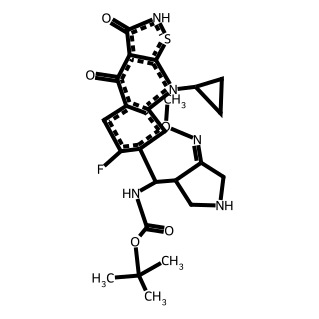 CO/N=C1/CNCC1C(NC(=O)OC(C)(C)C)c1cc2c(cc1F)c(=O)c1c(=O)[nH]sc1n2C1CC1